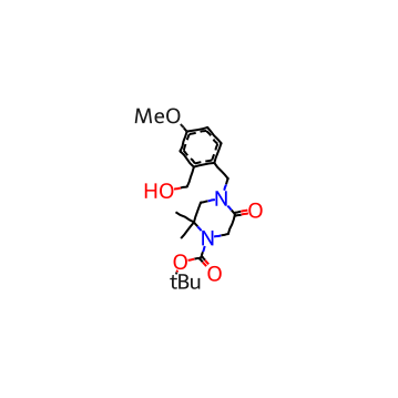 COc1ccc(CN2CC(C)(C)N(C(=O)OC(C)(C)C)CC2=O)c(CO)c1